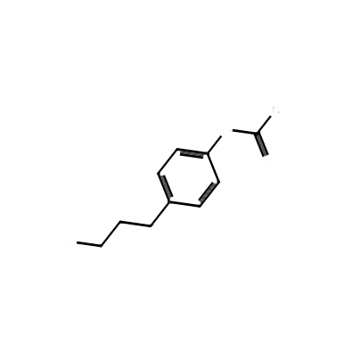 NC(=O)Oc1ccc([CH]CCO)cc1